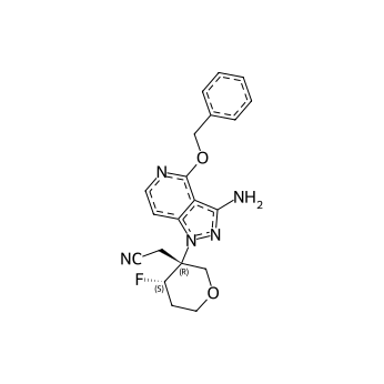 N#CC[C@@]1(n2nc(N)c3c(OCc4ccccc4)nccc32)COCC[C@@H]1F